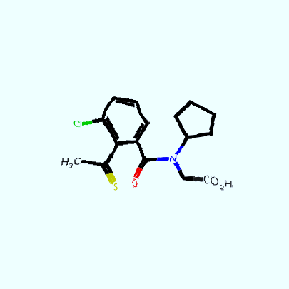 CC(=S)c1c(Cl)cccc1C(=O)N(CC(=O)O)C1CCCC1